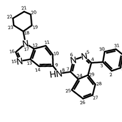 c1ccc(-c2nnc(Nc3ccc4c(c3)ncn4C3CCCCC3)c3ccccc23)cc1